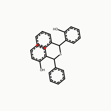 Oc1ccccc1C(SC(c1ccccc1)c1ccccc1O)c1ccccc1